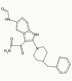 NC(=O)C(=O)c1c(N2CCC(Cc3ccccc3)CC2)[nH]c2ccc(NC=O)cc12